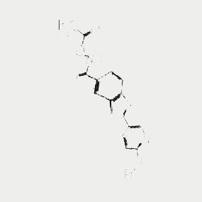 CC(C)Oc1ccc(-c2nc3ccc(C(=O)NOC(=O)C(F)(F)F)cc3s2)cn1